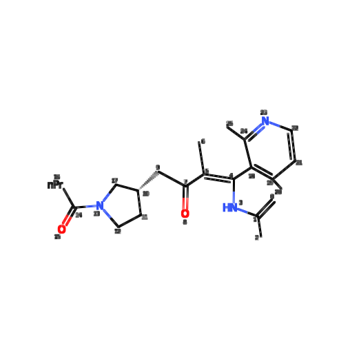 C=C(C)N/C(=C(/C)C(=O)C[C@@H]1CCN(C(=O)CCC)C1)c1c(C)ccnc1C